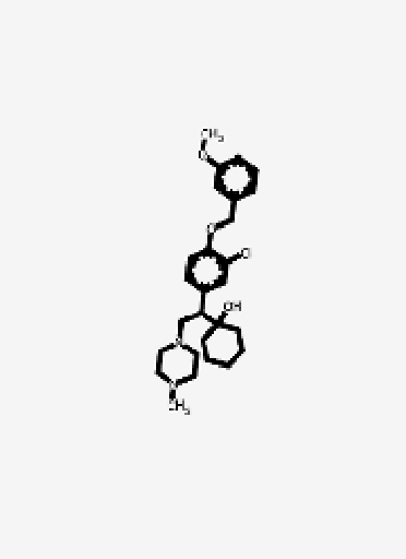 COc1cccc(COc2ccc(C(CN3CCN(C)CC3)C3(O)CCCCC3)cc2Cl)c1